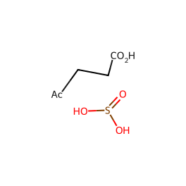 CC(=O)CCC(=O)O.O=S(O)O